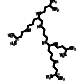 CC(N)CCNC(CCCNCC[C@H](C)N)CNCCCNC(CCCNCC[C@@H](C)N)NCCC(C)N